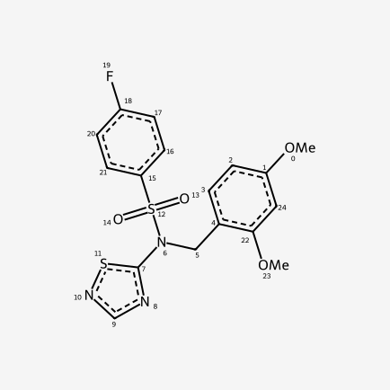 COc1ccc(CN(c2ncns2)S(=O)(=O)c2ccc(F)cc2)c(OC)c1